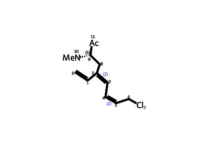 C=C/C(=C\C=C/CCl)C[C@H](NC)C(C)=O